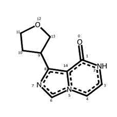 O=c1[nH]ccn2cnc(C3CCOC3)c12